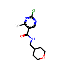 O=C(NCC1CCOCC1)c1cnc(Cl)nc1C(F)(F)F